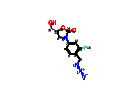 [N-]=[N+]=NCc1ccc(N2C[C@H](CO)OC2=O)cc1F